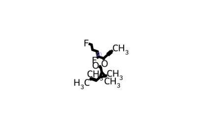 CC#CC(OC(=O)C1C(C=C(C)C)C1(C)C)/C(F)=C/CCF